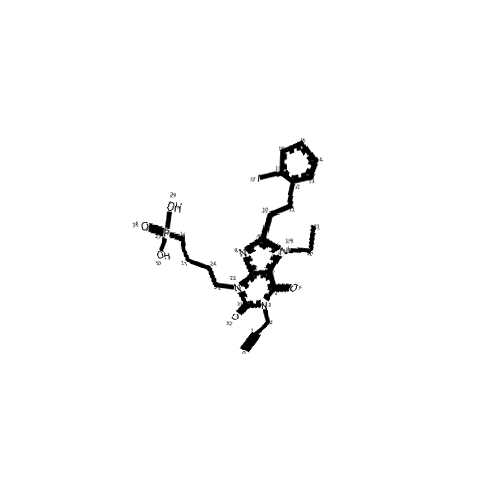 C#CCn1c(=O)c2c(nc(CCc3ccccc3I)n2CC)n(CCCCP(=O)(O)O)c1=O